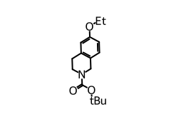 CCOc1ccc2c(c1)CCN(C(=O)OC(C)(C)C)C2